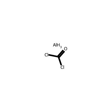 O=C(Cl)Cl.[AlH3]